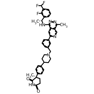 Cc1nnc(N[C@H](C)c2cccc(C(F)F)c2F)c2cc(-c3cccc(CN4CCC(c5ccc([C@@]6(C)CCC(=O)NC6=O)cc5)CC4)c3)ncc12